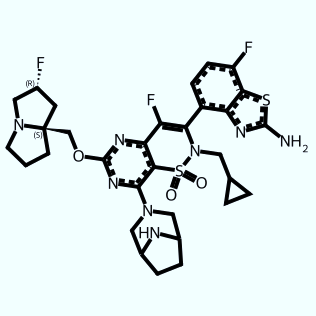 Nc1nc2c(C3=C(F)c4nc(OC[C@@]56CCCN5C[C@H](F)C6)nc(N5CC6CCC(C5)N6)c4S(=O)(=O)N3CC3CC3)ccc(F)c2s1